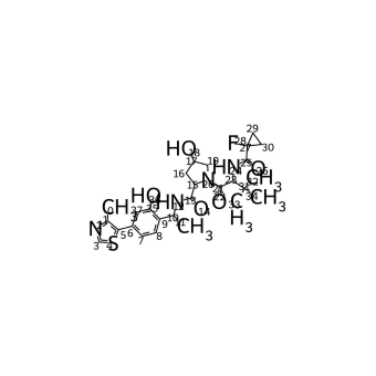 Cc1ncsc1-c1ccc(C(C)NC(=O)C2CC(O)CN2C(=O)C(NC(=O)C2(F)CC2)C(C)(C)C)c(O)c1